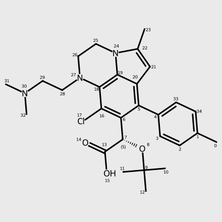 Cc1ccc(-c2c([C@H](OC(C)(C)C)C(=O)O)c(Cl)c3c4c2cc(C)n4CCN3CCN(C)C)cc1